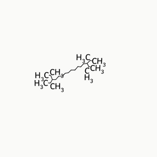 CC(C)C(CCCCCCCCCCC(C(C)C)C(C)C)C(C)C